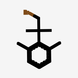 Cc1cccc(C)c1C(C)(C)CBr